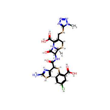 Cn1nnnc1SCC1=C(C(=O)O)N2C(=O)C(NC(=O)C(Sc3ccc(Cl)cc3C(=O)O)c3csc(N)n3)[C@@H]2SC1